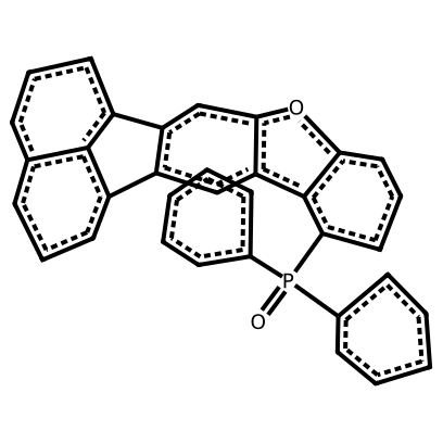 O=P(c1ccccc1)(c1ccccc1)c1cccc2oc3cc4c(cc3c12)-c1cccc2cccc-4c12